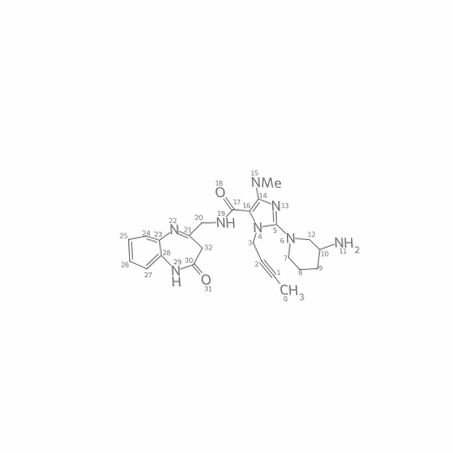 CC#CCn1c(N2CCCC(N)C2)nc(NC)c1C(=O)NCC1=Nc2ccccc2NC(=O)C1